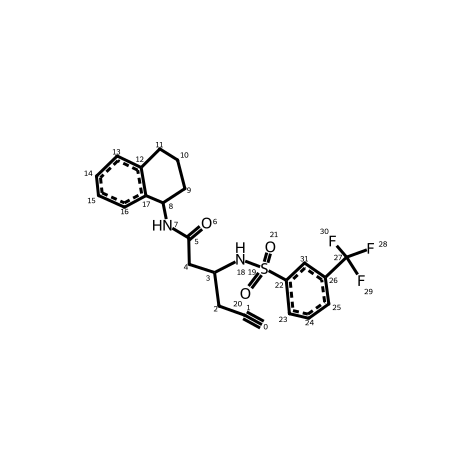 C#CCC(CC(=O)NC1CCCc2ccccc21)NS(=O)(=O)c1cccc(C(F)(F)F)c1